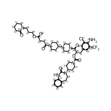 Nc1c(Cl)cc(C[C@@H](OC(=O)N2CCC(N3CCc4ccccc4NC3=O)CC2)C(=O)N2CCN(C3CCN(C(=O)CCC(=O)OCCCN4CCCCC4=O)CC3)CC2)cc1C(F)(F)F